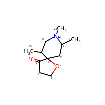 CC1CC2(OCCC2=O)C(C)CN1C